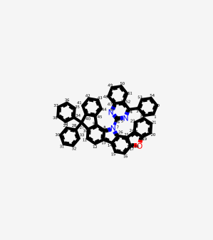 c1ccc(-c2nc(-n3c4c5c(ccc4c4ccc6oc7ccccc7c6c43)C(c3ccccc3)(c3ccccc3)c3ccccc3-5)nc3ccccc23)cc1